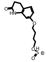 O=C1CCc2ccc(OCCCCO[SH](=O)=O)cc2N1